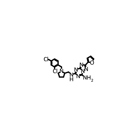 Nc1nc(NCC2CCCN2Cc2ccc(Cl)cc2Cl)nc2nc(-c3ccco3)nn12